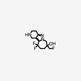 O[C@@]1(CF)CCC(F)(F)c2c3c(nn2C1)CCNC3